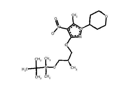 Cc1c([N+](=O)[O-])c(OC[C@@H](C)CO[Si](C)(C)C(C)(C)C)nn1C1CCOCC1